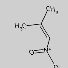 CC(C)=C[N+](=O)[O-]